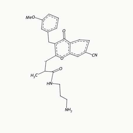 COc1cccc(Cc2c([CH]C(C)C(=O)NCCCN)oc3cc(C#N)ccc3c2=O)c1